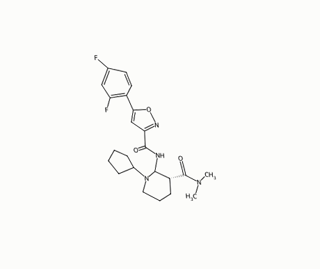 CN(C)C(=O)[C@@H]1CCCN(C2CCCC2)C1NC(=O)c1cc(-c2ccc(F)cc2F)on1